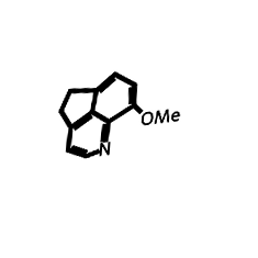 COc1ccc2c3c(ccnc13)CC2